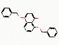 Oc1ccc(OCc2ccccc2)c2cccc(OCc3ccccc3)c12